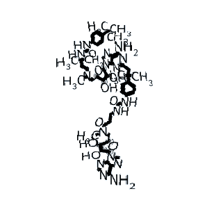 CN(CCC(C)(C)NC(=O)Nc1ccc(C(C)(C)C)cc1)C[C@H]1O[C@@H](n2cnc3c(N)nc(CC(C)(C)c4ccc(NC(=O)NCCC(=O)N(C)C[C@H]5O[C@@H](n6cnc7c(N)ncnc76)[C@H](O)[C@@H]5O)cc4)nc32)[C@H](O)[C@@H]1O